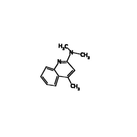 Cc1cc(N(C)C)nc2ccccc12